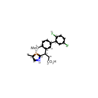 COc1ccc(-c2cc(F)ccc2F)cc1C(CC(=O)O)c1ncc(C)s1